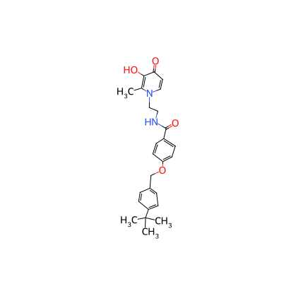 Cc1c(O)c(=O)ccn1CCNC(=O)c1ccc(OCc2ccc(C(C)(C)C)cc2)cc1